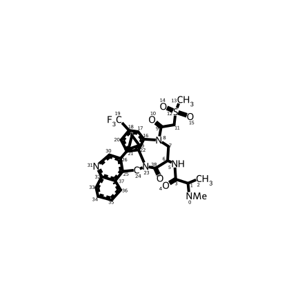 CNC(C)C(=O)NC1CN(C(=O)CS(C)(=O)=O)c2cc(C(F)(F)F)ccc2N(Cc2c(C3CC3)cnc3ccccc23)C1=O